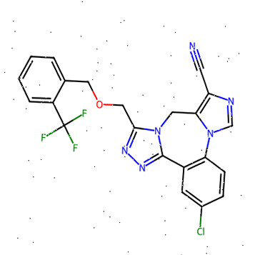 N#Cc1ncn2c1Cn1c(COCc3ccccc3C(F)(F)F)nnc1-c1cc(Cl)ccc1-2